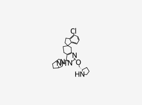 Clc1cccc2c1CCC21CCc2c(nc(OC[C@@H]3CCCN3)nc2N2CC3CCC(C2)N3)C1